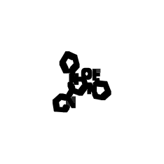 O=c1c(N2CC=CC=C2F)cc(-c2ccccn2)cn1-c1ccccc1